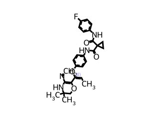 C=NC1=C(/C(=C\C)Oc2ccc(NC(=O)C3(C(=O)Nc4ccc(F)cc4)CC3)cc2)OCC(C)(C)N1